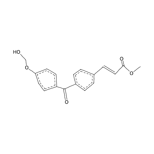 COC(=O)/C=C/c1ccc(C(=O)c2ccc(OCO)cc2)cc1